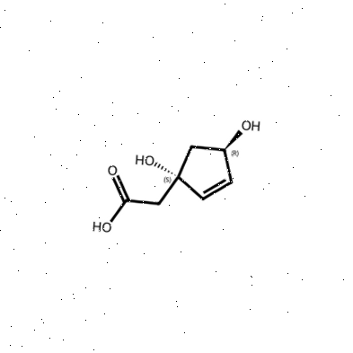 O=C(O)C[C@]1(O)C=C[C@H](O)C1